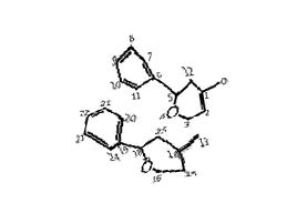 CC1=CCOC(c2ccccc2)C1.CC1CCOC(c2ccccc2)C1